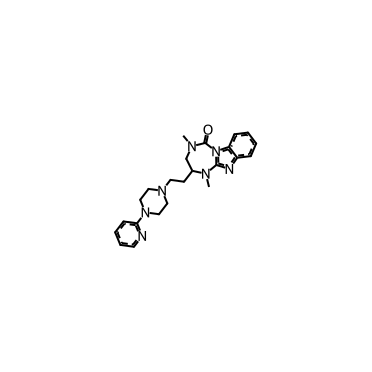 CN1CC(CCN2CCN(c3ccccn3)CC2)N(C)c2nc3ccccc3n2C1=O